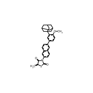 C=C1SC(=O)N(c2ccc3cc(-c4ccc(OC)c(C56CC7CC(CC(C7)C5)C6)c4)ccc3c2)C1=O